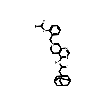 O=C(CC12CC3CC(CC(C3)C1)C2)Nc1ncnc2c1CCN(Cc1ccccc1OC(F)F)C2